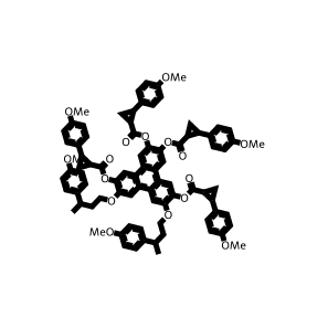 COc1ccc(C(C)CCOc2cc3c4cc(OCCC(C)c5ccc(OC)cc5)c(OC(=O)C5CC5c5ccc(OC)cc5)cc4c4cc(OC(=O)C5CC5c5ccc(OC)cc5)c(OC(=O)C5CC5c5ccc(OC)cc5)cc4c3cc2OC(=O)C2CC2c2ccc(OC)cc2)cc1